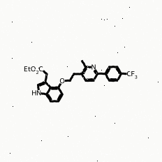 CCOC(=O)Cc1c[nH]c2cccc(OCCc3ccc(-c4ccc(C(F)(F)F)cc4)nc3C)c12